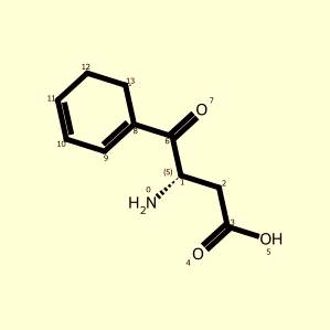 N[C@@H](CC(=O)O)C(=O)C1=CC=CC[CH]1